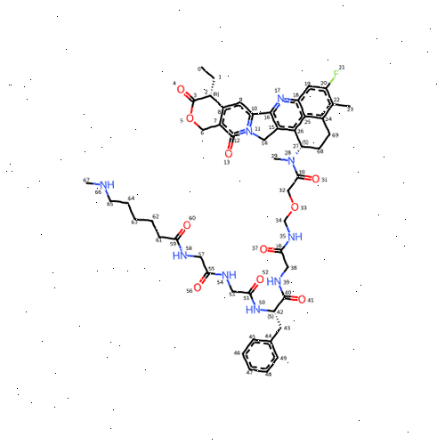 CC[C@H]1C(=O)OCc2c1cc1n(c2=O)Cc2c-1nc1cc(F)c(C)c3c1c2[C@@H](N(C)C(=O)COCNC(=O)CNC(=O)[C@H](Cc1ccccc1)NC(=O)CNC(=O)CNC(=O)CCCCCNC)CC3